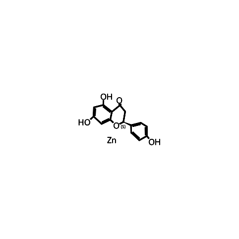 O=C1C[C@@H](c2ccc(O)cc2)Oc2cc(O)cc(O)c21.[Zn]